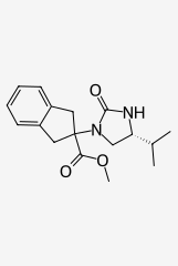 COC(=O)C1(N2C[C@@H](C(C)C)NC2=O)Cc2ccccc2C1